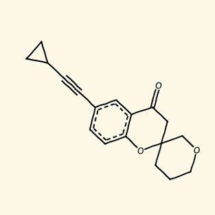 O=C1CC2(CCCOC2)Oc2ccc(C#CC3CC3)cc21